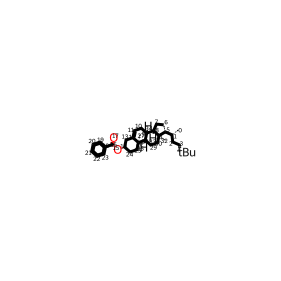 C[C@H](CCC(C)(C)C)[C@H]1CC[C@H]2[C@@H]3CC=C4C[C@@H](OC(=O)c5ccccc5)CC[C@]4(C)[C@H]3CC[C@]12C